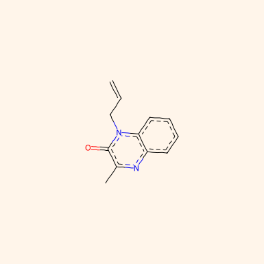 C=CCn1c(=O)c(C)nc2ccccc21